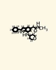 CNC(=O)Cc1cc(NC2CCOCC2)c2[nH]c(-c3ccccc3)cc2c1